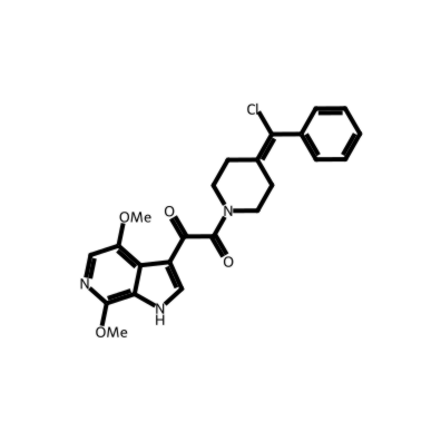 COc1ncc(OC)c2c(C(=O)C(=O)N3CCC(=C(Cl)c4ccccc4)CC3)c[nH]c12